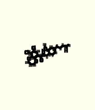 CNCCCN1CC[C@@H](CNC(=O)c2cc(Cl)c(Cl)c3c2OCCCO3)C(OC)C1